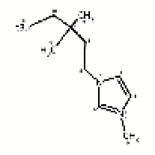 C[n+]1ccn(CCC(C)(C)CC(C)(C)C)c1